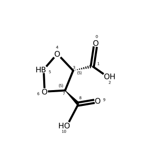 O=C(O)[C@H]1OBO[C@@H]1C(=O)O